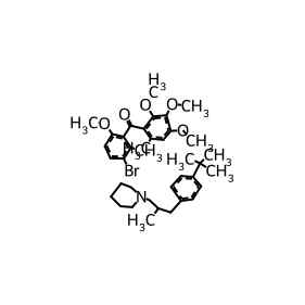 CC(Cc1ccc(C(C)(C)C)cc1)CN1CCCCC1.COc1cc(C)c(C(=O)c2c(OC)ccc(Br)c2C)c(OC)c1OC